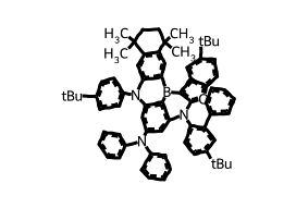 CC(C)(C)c1ccc(N2c3cc4c(cc3B3c5c2cc(N(c2ccccc2)c2ccccc2)cc5N(c2ccc(C(C)(C)C)cc2-c2ccccc2)c2oc5ccc(C(C)(C)C)cc5c23)C(C)(C)CCC4(C)C)cc1